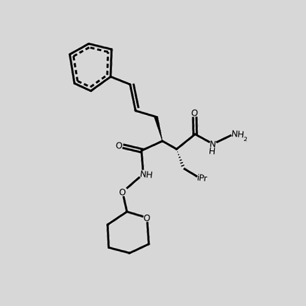 CC(C)C[C@@H](C(=O)NN)[C@H](CC=Cc1ccccc1)C(=O)NOC1CCCCO1